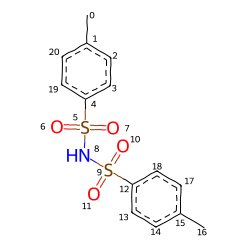 Cc1ccc(S(=O)(=O)NS(=O)(=O)c2ccc(C)cc2)cc1